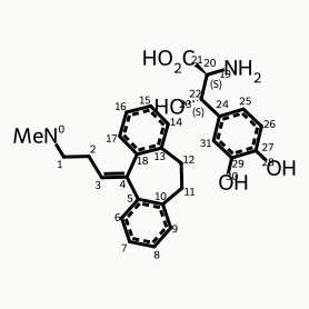 CNCCC=C1c2ccccc2CCc2ccccc21.N[C@H](C(=O)O)[C@@H](O)c1ccc(O)c(O)c1